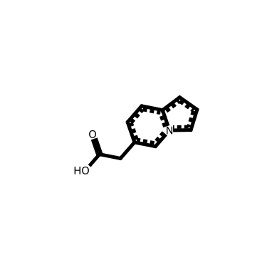 O=C(O)Cc1ccc2cccn2c1